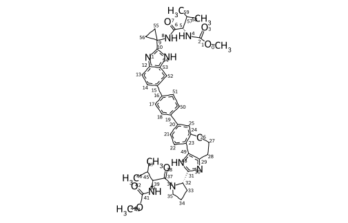 COC(=O)N[C@H](C(=O)NC1(c2nc3ccc(-c4ccc(-c5ccc6c(c5)CCCc5nc([C@@H]7CCCN7C(=O)[C@@H](NC(=O)OC)C(C)C)[nH]c5-6)cc4)cc3[nH]2)CC1)C(C)C